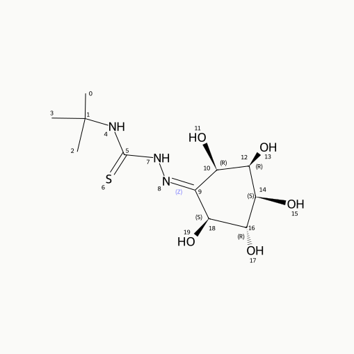 CC(C)(C)NC(=S)N/N=C1\[C@@H](O)[C@@H](O)[C@@H](O)[C@H](O)[C@H]1O